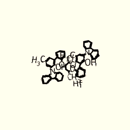 Cc1cc(-c2ccccc2OC(C)CC(Oc2ccccc2-c2cc(C)cc(-n3c4ccccc4c4ccccc43)c2O)C(Cl)Cl)c(O)c(-n2c3ccccc3c3ccccc32)c1.[Hf]